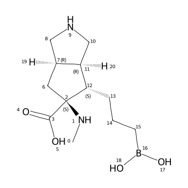 CN[C@@]1(C(=O)O)C[C@H]2CNC[C@H]2[C@@H]1CCCB(O)O